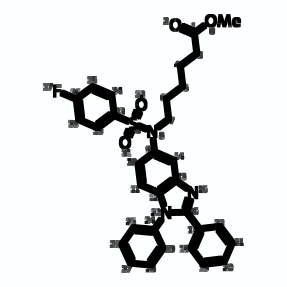 COC(=O)CCCCCN(c1ccc2c(c1)nc(-c1ccccc1)n2-c1ccccc1)S(=O)(=O)c1ccc(F)cc1